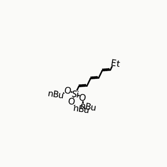 CCC=CC=CC=C[Si](OCCCC)(OCCCC)OCCCC